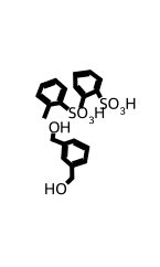 Cc1ccccc1S(=O)(=O)O.Cc1ccccc1S(=O)(=O)O.OCc1cccc(CO)c1